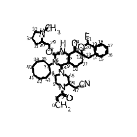 C=CC(=O)N1CCN(C2C3CC[C@@]4(Cc5ccccc5C(F)O4)C(=O)C3NC(OCC3CCCN3C)N2C2CCCCCCC2)CC1CC#N